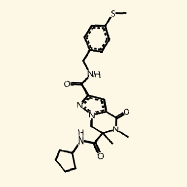 CSc1ccc(CNC(=O)c2cc3n(n2)CC(C)(C(=O)NC2CCCC2)N(C)C3=O)cc1